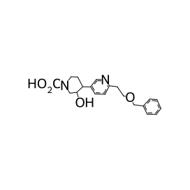 O=C(O)N1CCC(c2ccc(CCOCc3ccccc3)nc2)C(O)C1